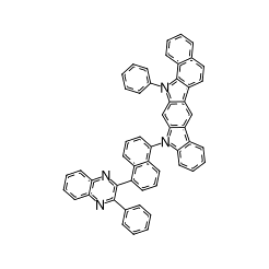 c1ccc(-c2nc3ccccc3nc2-c2cccc3c(-n4c5ccccc5c5cc6c7ccc8ccccc8c7n(-c7ccccc7)c6cc54)cccc23)cc1